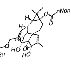 CCCCCCCCCC(=O)O[C@@]12CCC34C=C(C)[C@H](O)[C@@]3(O)[C@H](O)C(COC(=O)C(C)(C)C)=C[C@H](C4O)[C@@H]1C2(C)C